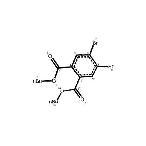 CCCCOC(=O)c1cc(Br)c(CC)cc1C(=O)OCCCC